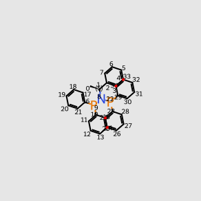 C[C@@H](c1ccccc1)N(P(c1ccccc1)c1ccccc1)P(c1ccccc1)c1ccccc1